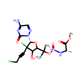 BC(B)(O[PH](=O)N[C@@H](C)C(=O)OC(C)C)C1O[C@@H](n2ncc(N)nc2=O)[C@@](F)(C#CCF)C1O